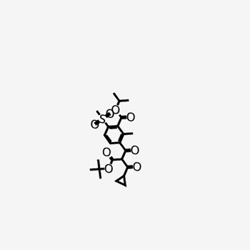 Cc1c(C(=O)C(C(=O)OC(C)(C)C)C(=O)C2CC2)ccc(S(C)(=O)=O)c1C(=O)OC(C)C